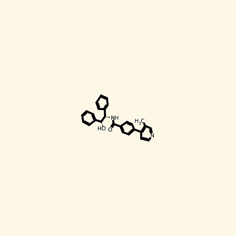 Cc1cnccc1-c1ccc(C(=O)N[C@@H](c2ccccc2)[C@H](O)c2ccccc2)cc1